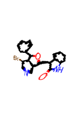 O=C1Nc2ccccc2C1=C1OC(c2ccccc2)c2c(Br)cncc21